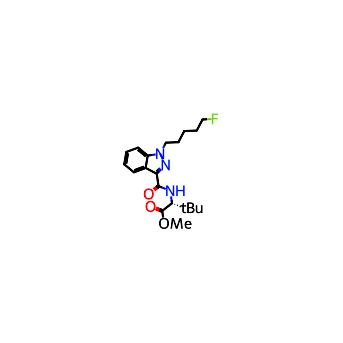 COC(=O)[C@H](NC(=O)c1nn(CCCCCF)c2ccccc12)C(C)(C)C